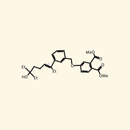 CC/C(=C\CCC(O)(CC)CC)c1cccc(COc2ccc(C(=O)OC)c(C(=O)OC)c2)c1